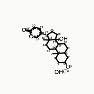 CC12CCC(OC=O)CC1CCC1C2CCC2(C)[C@@H](c3ccc(=O)oc3)CCC12O